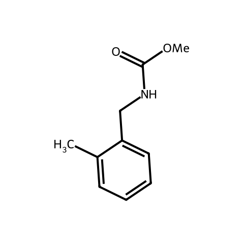 COC(=O)NCc1ccccc1C